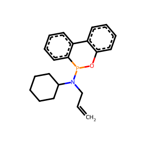 C=CCN(C1CCCCC1)P1Oc2ccccc2-c2ccccc21